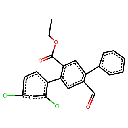 CCOC(=O)c1cc(-c2ccccc2)c(C=O)cc1-c1ccc(Cl)cc1Cl